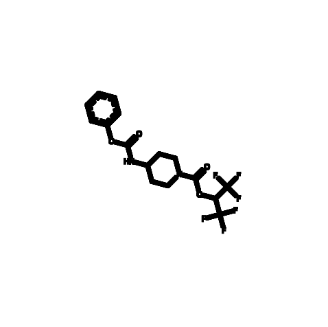 O=C(NC1CCN(C(=O)OC(C(F)(F)F)C(F)(F)F)CC1)Oc1ccccc1